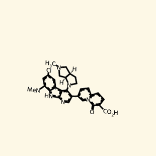 CNc1cc(Cl)cc2c1[nH]c1ncc(-c3ccc4ccc(C(=O)O)c(=O)n4c3)c(N3CC[C@@H]4CN(C)C[C@@H]43)c12